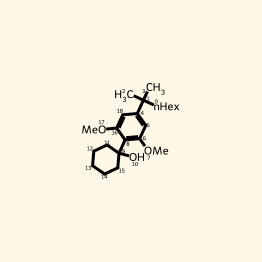 CCCCCCC(C)(C)c1cc(OC)c(C2(O)CCCCC2)c(OC)c1